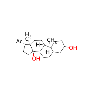 CC(=O)[C@H]1CC[C@@]2(O)[C@@H]3CCC4CC(O)CC[C@]4(C)[C@H]3CC[C@]12C